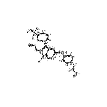 C=CCn1c(=O)c2cnc(Nc3ccc(CN(C)C(C)C)cc3)nc2n1-c1cccc(C(C)(C)O)n1